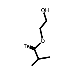 CC(C)C(=[Te])OCCO